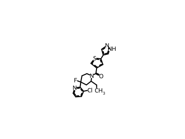 CCC1CC(F)(c2ncccc2Cl)CCN1C(=O)c1csc(-c2cn[nH]c2)c1